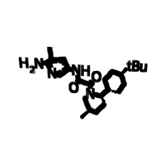 Cc1cc(NC(=O)C(=O)N2C[C@H](C)CC[C@H]2[C@H]2CC[C@H](C(C)(C)C)CC2)cnc1N